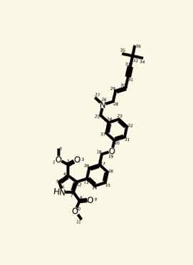 COC(=O)c1c[nH]c(C(=O)OC)c1-c1cccc(COc2cccc(CN(C)C/C=C/C#CC(C)(C)C)c2)c1